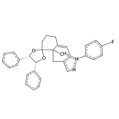 CC12Cc3cnn(-c4ccc(F)cc4)c3C=C1CCCC21O[C@H](c2ccccc2)[C@H](c2ccccc2)O1